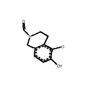 O=CN1CCc2c(ccc(O)c2Cl)C1